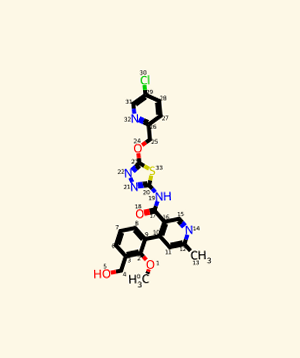 COc1c(CO)cccc1-c1cc(C)ncc1C(=O)Nc1nnc(OCc2ccc(Cl)cn2)s1